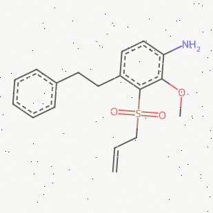 C=CCS(=O)(=O)c1c(CCc2ccccc2)ccc(N)c1OC